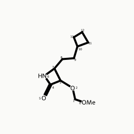 COCOC1C(=O)NC1CCC1CCC1